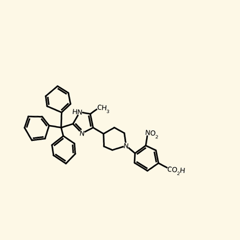 Cc1[nH]c(C(c2ccccc2)(c2ccccc2)c2ccccc2)nc1C1CCN(c2ccc(C(=O)O)cc2[N+](=O)[O-])CC1